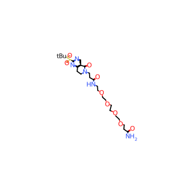 CC(C)(C)S(=O)(=O)c1ncc2c(n1)CCN(CCC(=O)NCCOCCOCCOCCOCCC(N)=O)C2=O